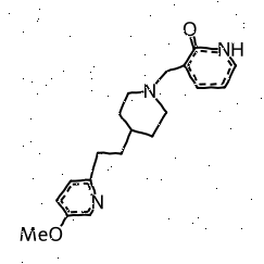 COc1ccc(CCC2CCN(Cc3ccc[nH]c3=O)CC2)nc1